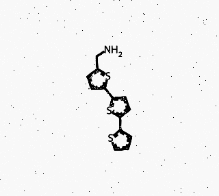 NCc1c[c]c(-c2ccc(-c3cccs3)s2)s1